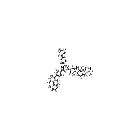 CC1(C)c2ccccc2-c2ccc(-c3ccc(-c4nc(-c5ccc(-c6cccnc6)cc5)nc(-c5ccc(-c6ccc7ccc8cccc9ccc6c7c89)cc5)n4)cc3)cc21